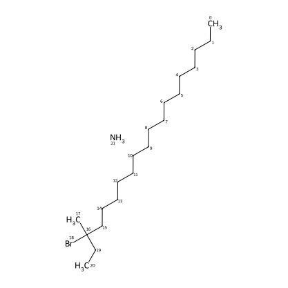 CCCCCCCCCCCCCCCCC(C)(Br)CC.N